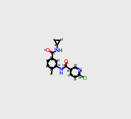 Cc1ccc(C(=O)NC2CC2)cc1NC(=O)c1ccc(Cl)nc1